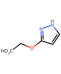 O=C(O)COc1cc[nH]n1